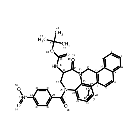 COc1ccc2ccccc2c1CN1C(=O)C(NC(=O)OC(C)(C)C)CN(C(=O)c2ccc([N+](=O)[O-])cc2)c2ccccc21